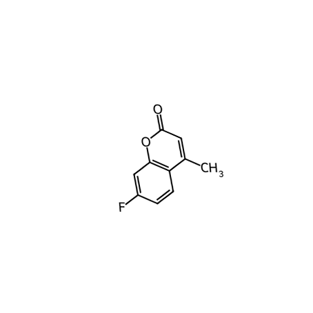 Cc1cc(=O)oc2cc(F)ccc12